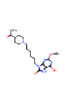 CCCCOc1nc(O)c2[nH]c(=O)n(CCCCCCN3CCC(C(=O)OC)CC3)c2n1